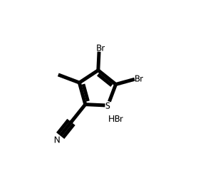 Br.Cc1c(C#N)sc(Br)c1Br